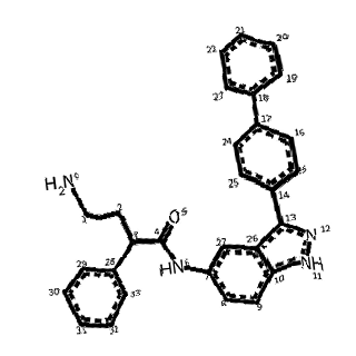 NCCC(C(=O)Nc1ccc2[nH]nc(-c3ccc(-c4ccccc4)cc3)c2c1)c1ccccc1